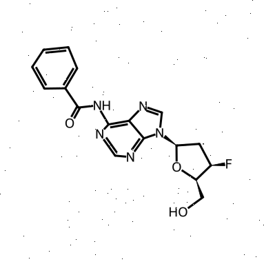 O=C(Nc1ncnc2c1ncn2[C@H]1[CH][C@@H](F)[C@@H](CO)O1)c1ccccc1